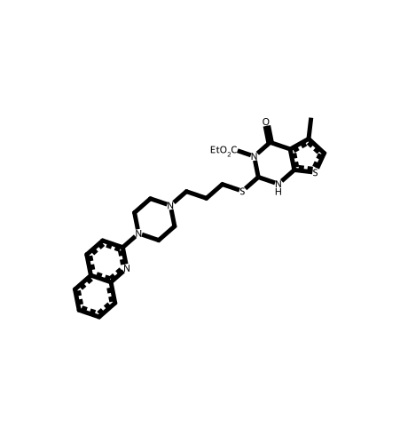 CCOC(=O)N1C(=O)c2c(C)csc2NC1SCCCN1CCN(c2ccc3ccccc3n2)CC1